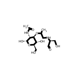 CC(=O)N[C@@H]1[C@@H](OC(C)CN[C@H]([C]=O)CO)[C@H](O)[C@@H](CO)O[C@@H]1O